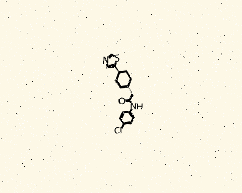 O=C(C[C@H]1CC[C@H](c2cncs2)CC1)Nc1ccc(Cl)cc1